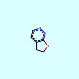 [c]1cnnc2c1CCO2